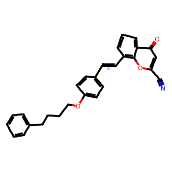 N#Cc1cc(=O)c2cccc(/C=C/c3ccc(OCCCCc4ccccc4)cc3)c2o1